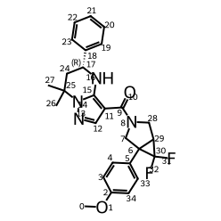 COc1ccc(C23CN(C(=O)c4cnn5c4N[C@@H](c4ccccc4)CC5(C)C)CC2C3(F)F)cc1